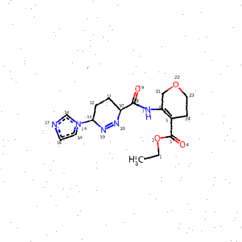 CCOC(=O)C1=C(NC(=O)C2CCC(n3ccnc3)N=N2)COCC1